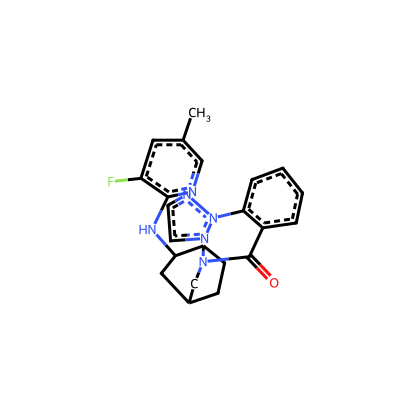 Cc1cnc(NC2CC3CCC2N(C(=O)c2ccccc2-n2nccn2)C3)c(F)c1